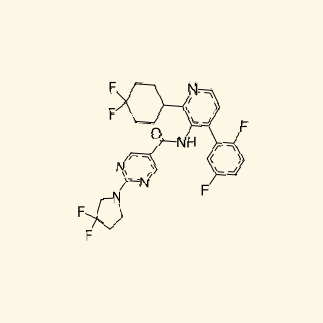 O=C(Nc1c(-c2cc(F)ccc2F)ccnc1C1CCC(F)(F)CC1)c1cnc(N2CCC(F)(F)C2)nc1